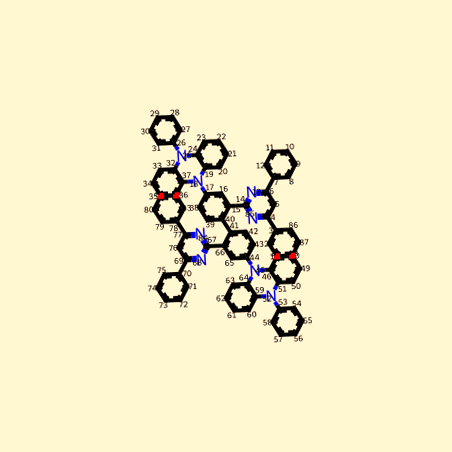 c1ccc(-c2cc(-c3ccccc3)nc(-c3cc(N4c5ccccc5N(c5ccccc5)c5ccccc54)ccc3-c3ccc(N4c5ccccc5N(c5ccccc5)c5ccccc54)cc3-c3nc(-c4ccccc4)cc(-c4ccccc4)n3)n2)cc1